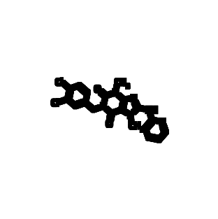 Cn1c(Nc2ccccn2)nc2c1c(=O)n(Cc1ccc(Cl)c(Cl)c1)c(=O)n2C